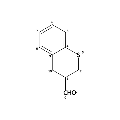 O=[C]C1CSc2ccccc2C1